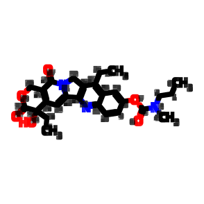 CCCN(C)C(=O)Oc1ccc2nc3c(c(CC)c2c1)Cn1c-3cc2c(c1=O)COC(=O)C2(O)CC